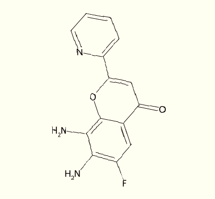 Nc1c(F)cc2c(=O)cc(-c3ccccn3)oc2c1N